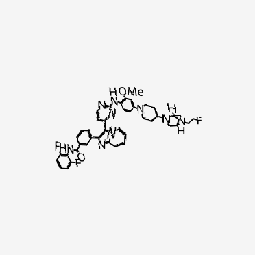 COc1cc(N2CCC(N3C[C@@H]4C[C@H]3CN4CCF)CC2)ccc1Nc1nccc(-c2c(-c3cccc(C(=O)Nc4c(F)cccc4F)c3)nc3ccccn23)n1